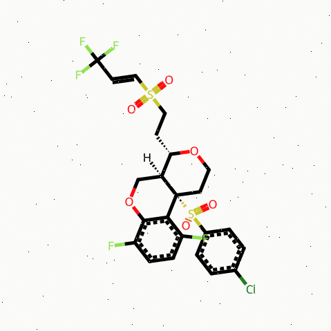 O=S(=O)(C=CC(F)(F)F)CC[C@@H]1OCC[C@@]2(S(=O)(=O)c3ccc(Cl)cc3)c3c(F)ccc(F)c3OC[C@@H]12